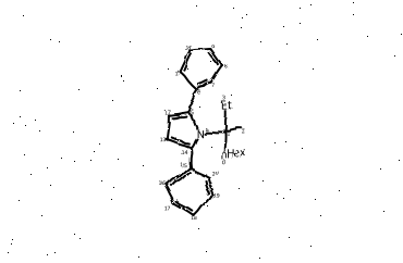 CCCCCCC(C)(CC)n1c(-c2ccccc2)ccc1-c1ccccc1